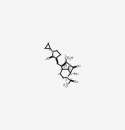 O=C(O)C1=C(/C=C2\CCN(C3CC3)C2=O)C2CCN(C(=O)C(F)(F)F)[C@@H]3C(=O)N1[C@H]23